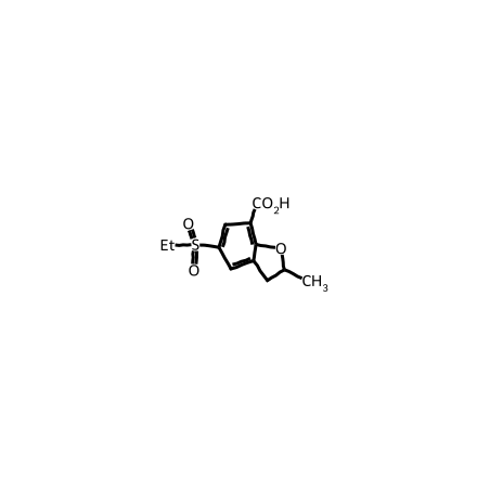 CCS(=O)(=O)c1cc2c(c(C(=O)O)c1)OC(C)C2